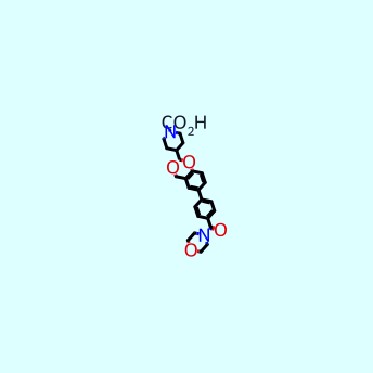 O=C(O)N1CCC(C2OCc3cc(-c4ccc(C(=O)N5CCOCC5)cc4)ccc3O2)CC1